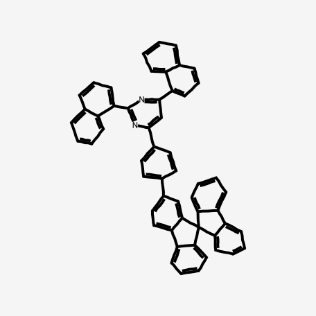 c1ccc2c(c1)-c1ccccc1C21c2ccccc2-c2ccc(-c3ccc(-c4cc(-c5cccc6ccccc56)nc(-c5cccc6ccccc56)n4)cc3)cc21